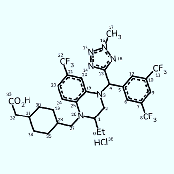 CCC1CN(C(c2cc(C(F)(F)F)cc(C(F)(F)F)c2)c2nnn(C)n2)c2cc(C(F)(F)F)ccc2N1CC1CCC(CC(=O)O)CC1.Cl